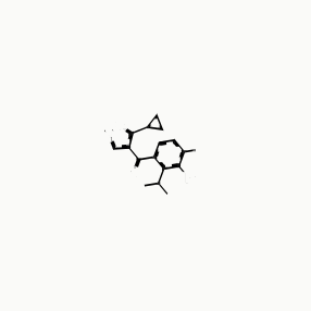 CC(C)c1c(C(=S)c2cnoc2C2CC2)ccc(Cl)c1Br